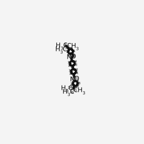 CC(C)(C)c1ccc2oc(-c3ccc(-c4ccc(-c5nc6cc(C(C)(C)C)ccc6o5)cc4)cc3)nc2c1